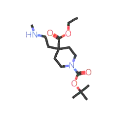 CCOC(=O)C1(CCNC)CCN(C(=O)OC(C)(C)C)CC1